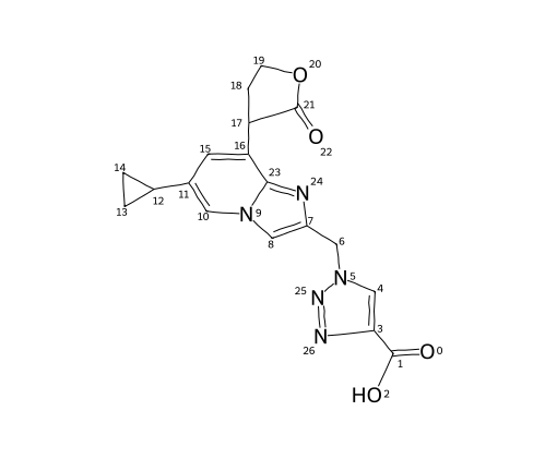 O=C(O)c1cn(Cc2cn3cc(C4CC4)cc(C4CCOC4=O)c3n2)nn1